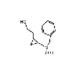 O=C(O)N(Cc1ccccc1)C1CC1CCO